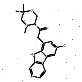 CN1CC(C)(C)OCC1C(=O)Cc1cc(Cl)cc2c1[nH]c1cnccc12